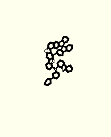 c1ccc(-c2cccc(N(c3cccc4c3oc3c(-c5ccc6c(c5)C5(c7ccccc7-c7ccccc75)c5ccccc5-6)c5c(cc34)oc3ccccc35)c3cccc4c3sc3ccccc34)c2)cc1